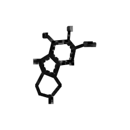 COc1nc2c3c([nH]c2c(Cl)c1Cl)CCNC3